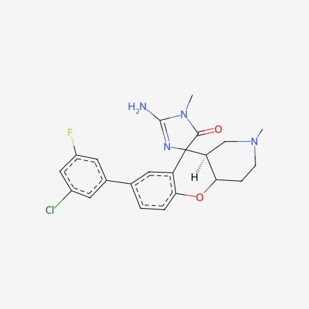 CN1CCC2Oc3ccc(-c4cc(F)cc(Cl)c4)cc3C3(N=C(N)N(C)C3=O)[C@H]2C1